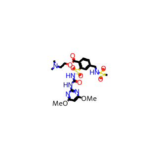 COc1cc(OC)nc(NC(=O)NS(=O)(=O)c2cc(CNS(C)(=O)=O)ccc2C(=O)OCCN(C)C)n1